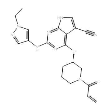 C=CC(=O)N1CCC[C@@H](Oc2nc(Nc3cnn(CC)c3)nc3[nH]cc(C#N)c23)C1